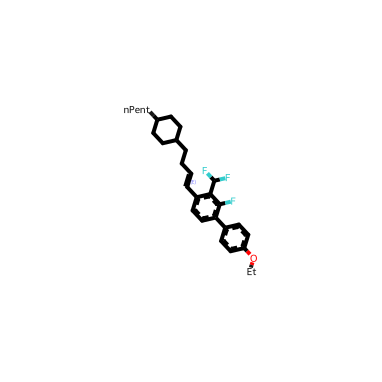 CCCCCC1CCC(CC/C=C/c2ccc(-c3ccc(OCC)cc3)c(F)c2C(F)F)CC1